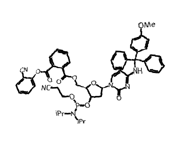 COc1ccc(C(Nc2ccn([C@H]3CC(OP(OCCC#N)N(C(C)C)C(C)C)[C@@H](COC(=O)c4ccccc4C(=O)Oc4ccccc4C#N)O3)c(=O)n2)(c2ccccc2)c2ccccc2)cc1